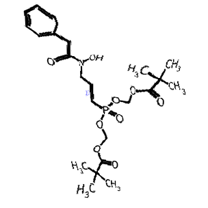 CC(C)(C)C(=O)OCOP(=O)(/C=C/CN(O)C(=O)Cc1ccccc1)OCOC(=O)C(C)(C)C